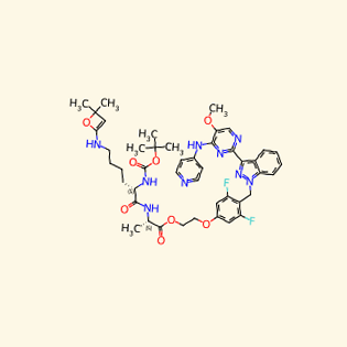 COc1cnc(-c2nn(Cc3c(F)cc(OCCOC(=O)[C@H](C)NC(=O)[C@H](CCCCNC4=CC(C)(C)O4)NC(=O)OC(C)(C)C)cc3F)c3ccccc23)nc1Nc1ccncc1